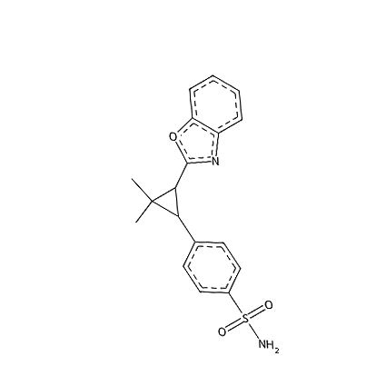 CC1(C)C(c2ccc(S(N)(=O)=O)cc2)C1c1nc2ccccc2o1